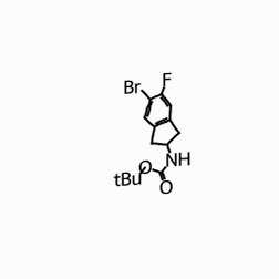 CC(C)(C)OC(=O)NC1Cc2cc(F)c(Br)cc2C1